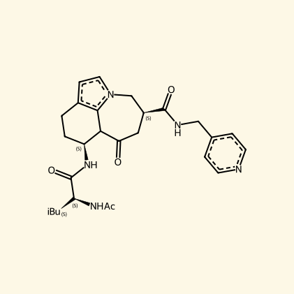 CC[C@H](C)[C@H](NC(C)=O)C(=O)N[C@H]1CCc2ccn3c2C1C(=O)C[C@H](C(=O)NCc1ccncc1)C3